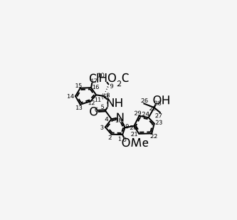 COc1ccc(C(=O)N[C@@H](CC(=O)O)c2ccccc2Cl)nc1-c1cccc(C(C)(C)O)c1